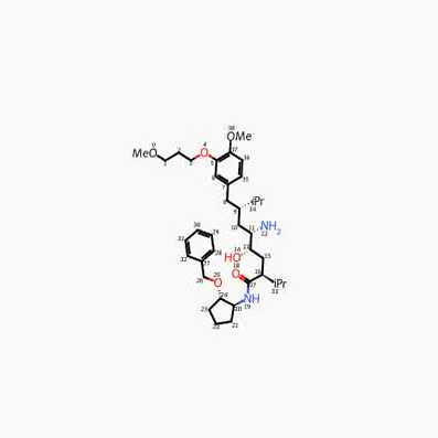 COCCCOc1cc(C[C@@H](C[C@H](N)[C@@H](O)C[C@H](C(=O)N[C@H]2CCC[C@@H]2OCc2ccccc2)C(C)C)C(C)C)ccc1OC